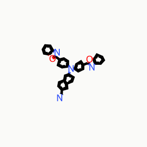 N#Cc1ccc2cc(N(c3ccc(-c4nc5ccccc5o4)cc3)c3ccc(-c4nc5ccccc5o4)cc3)ccc2c1